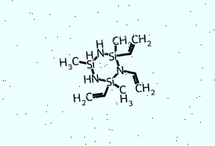 C=CN1[Si](C)(C=C)N[SiH](C)N[Si]1(C)C=C